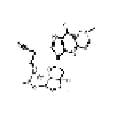 C[C@@H]1C[C@@H](OP(C)OCCC#N)[C@H]2O[C@H](n3cnc4c(=O)[nH]c(/N=C\N(C)C)nc43)C[C@H]21